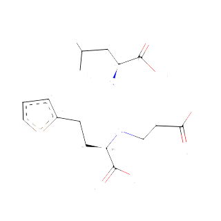 CC(C)C[C@H](N)C(=O)O.O=C(O)CCN[C@H](CCc1cccs1)C(=O)O